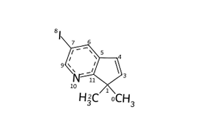 CC1(C)C=Cc2cc(I)cnc21